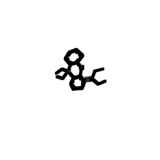 CC[SiH](CC)c1cccc2c1Oc1ccccc1[Si]2(CC)CC